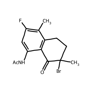 CC(=O)Nc1cc(F)c(C)c2c1C(=O)C(C)(Br)CC2